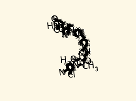 C[C@@H]1CN(c2ccc(C#N)c(Cl)c2)[C@@H](C)CN1C(=O)c1cnc(N2CCC(CN3CCC(n4ccc5c(N6CCC(=O)NC6=O)cncc54)CC3)CC2)cn1